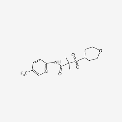 CC(C)(C(=O)Nc1ccc(C(F)(F)F)cn1)S(=O)(=O)C1CCOCC1